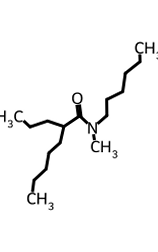 CCCCCCN(C)C(=O)C(CCC)CCCCC